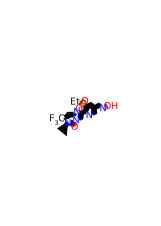 CCS(=O)(=O)c1cc(C=NO)cnc1-c1cn2c(=O)n(C3CC3)c(C(F)(F)F)cc2n1